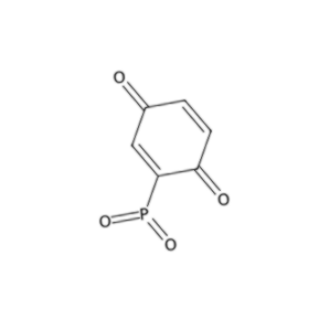 O=C1C=CC(=O)C(P(=O)=O)=C1